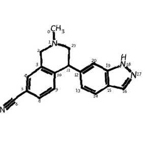 CN1Cc2cc(C#N)ccc2C(c2ccc3cn[nH]c3c2)C1